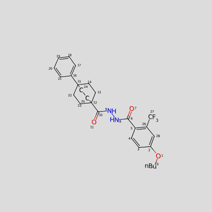 CCCCOc1ccc(C(=O)NNC(=O)C23CCC(c4ccccc4)(CC2)CC3)c(C(F)(F)F)c1